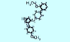 CCOc1ccccc1N1CCN(Cc2c[nH]nc2-c2ccc(OC)cc2)CC1